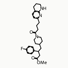 COC(=O)CC(CC1CCN(C(=O)CCCc2ccc3c(n2)NCCC3)CC1)c1ccc(F)cc1